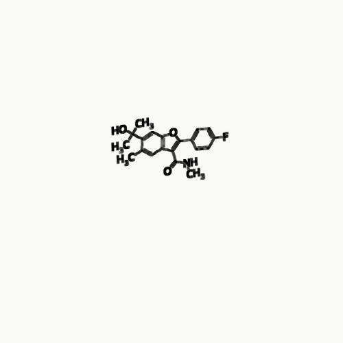 CNC(=O)c1c(-c2ccc(F)cc2)oc2cc(C(C)(C)O)c(C)cc12